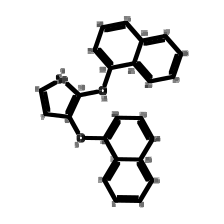 c1ccc2c(Oc3cc[se]c3Oc3cccc4ccccc34)cccc2c1